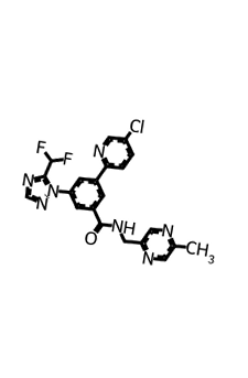 Cc1cnc(CNC(=O)c2cc(-c3ccc(Cl)cn3)cc(-n3ncnc3C(F)F)c2)cn1